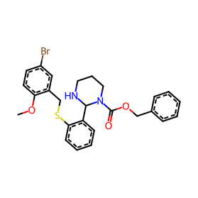 COc1ccc(Br)cc1CSc1ccccc1C1NCCCN1C(=O)OCc1ccccc1